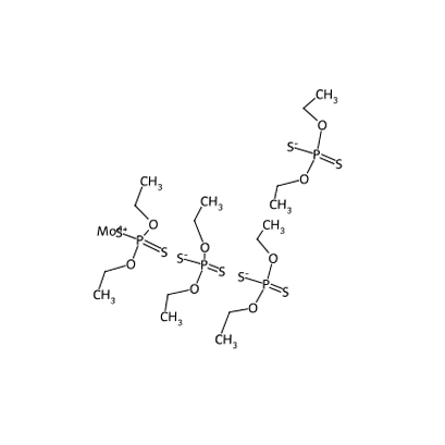 CCOP(=S)([S-])OCC.CCOP(=S)([S-])OCC.CCOP(=S)([S-])OCC.CCOP(=S)([S-])OCC.[Mo+4]